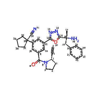 C#C[C@H]1CCCN1C(=O)c1cc(-c2nnc([C@](C)(N)Cc3ccccc3)o2)cc(C2(C#N)CCCC2)c1